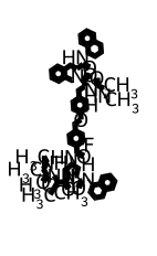 CNC(C)C(=O)NC(Cc1ccc(OCc2ccc(C(=O)N[C@H]3C[C@@H](C(=O)N[C@@H]4CCCc5ccccc54)N(C(=O)C(NC(=O)C(C)NC)C(C)(C)C)C3)c(F)c2)cc1)C(=O)N1Cc2ccccc2CC1C(=O)N[C@@H]1CCCc2ccccc21